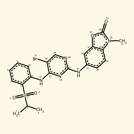 CC(C)S(=O)(=O)c1ccccc1Nc1nc(Nc2ccc3c(c2)oc(=O)n3C)ncc1Br